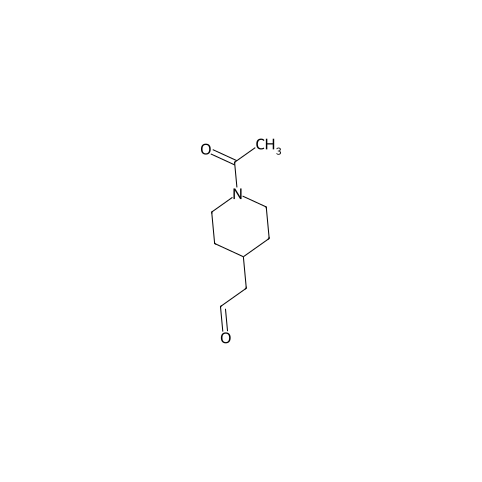 CC(=O)N1CCC(CC=O)CC1